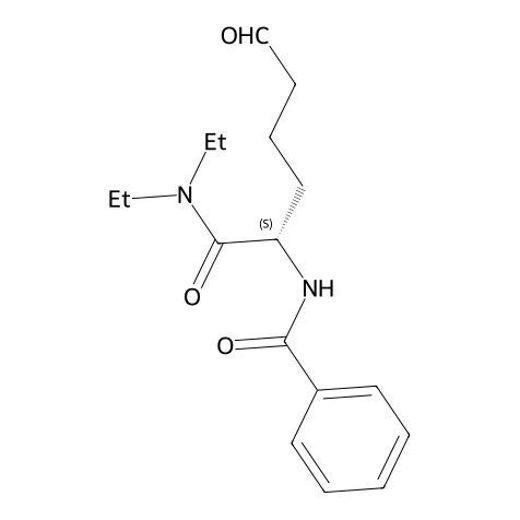 CCN(CC)C(=O)[C@H](CCCC=O)NC(=O)c1ccccc1